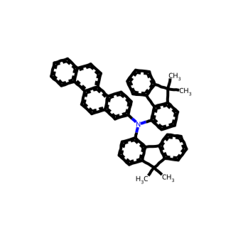 CC1(C)c2ccccc2-c2c(N(c3ccc4c(ccc5c6ccccc6ccc45)c3)c3cccc4c3-c3ccccc3C4(C)C)cccc21